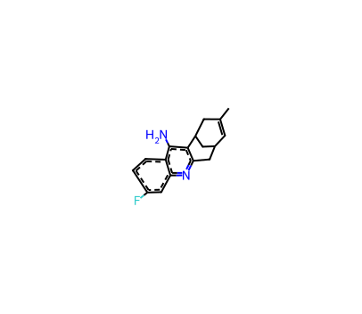 CC1=CC2Cc3nc4cc(F)ccc4c(N)c3C(C1)C2